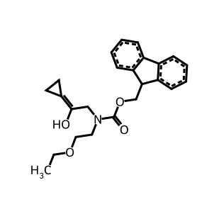 CCOCCN(CC(O)=C1CC1)C(=O)OCC1c2ccccc2-c2ccccc21